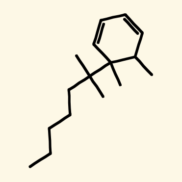 CCCCCC(C)(C)C1(C)C=CC=CC1C